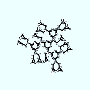 C1OC1CN(CC1CO1)c1nc(N(CC2CO2)CC2CO2)nc(N(CC2CO2)c2nc(N(CC3CO3)c3nc(N(CC4CO4)CC4CO4)nc(N(CC4CO4)CC4CO4)n3)nc(N(CC3CO3)c3nc(N(CC4CO4)CC4CO4)nc(N(CC4CO4)CC4CO4)n3)n2)n1